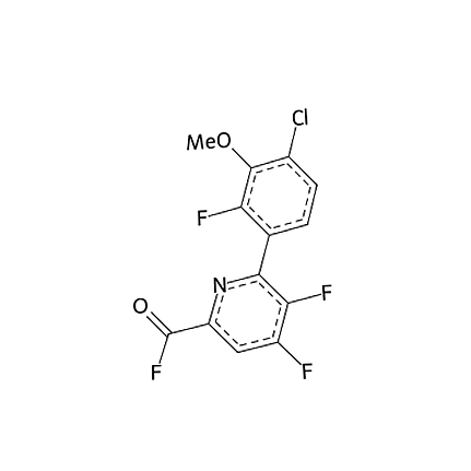 COc1c(Cl)ccc(-c2nc(C(=O)F)cc(F)c2F)c1F